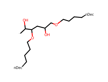 [CH2]C(O)C(CC(O)COCCCCCCCCCCCCCC)OCCCCCCCCCCCCCC